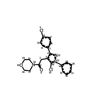 O=C(Cc1c(-c2ccc(Cl)cc2)nn(-c2ccccc2)c1Cl)N1CCOCC1